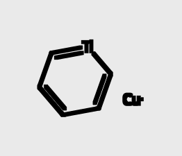 C1=C[CH]=[Tl][CH]=C1.[Cu]